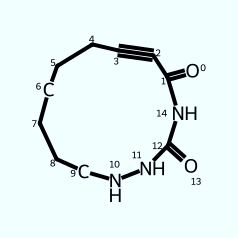 O=C1C#CCCCCCCNNC(=O)N1